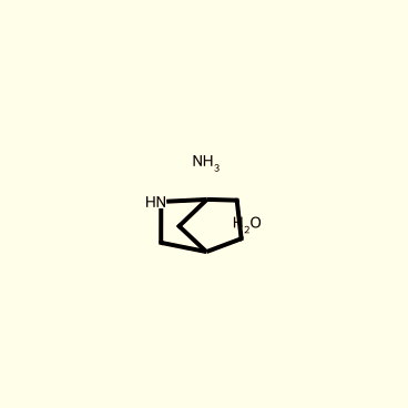 C1CC2CC1CN2.N.O